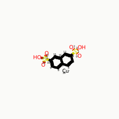 O=S(=O)(O)c1ccc2ccc(S(=O)(=O)O)cc2c1.[Cu]